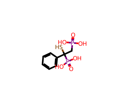 O=P(O)(O)CC(S)(c1ccccc1)P(=O)(O)O